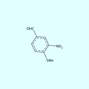 CSc1ccc([C]=O)cc1[N+](=O)[O-]